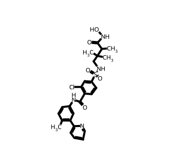 Cc1ccc(NC(=O)c2ccc(S(=O)(=O)NCC(C)(C)C(C)C(=O)NO)cc2Cl)cc1-c1ccccn1